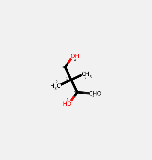 CC(C)(CO)C(O)C=O